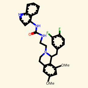 COc1cc2c(c(OC)c1)C(Cc1ccc(F)c(F)c1)N(CCNC(=O)Nc1ccnc3ccccc13)CC2